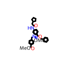 COC(=O)c1ccc(Cn2nc(OCc3ccccc3)c3ccc(NC(=O)CC4CCCC4)cc32)c(OC)c1